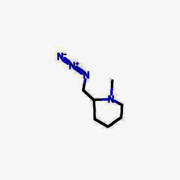 CN1CCCCC1CN=[N+]=[N-]